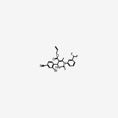 C=CCOC(=O)C1=C(C)N(c2cccc(C(F)F)c2)C(=S)NC1c1ccc(C#N)cc1Br